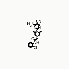 CC1CN(CC(=O)Nc2ccccc2Cl)CC(C)N1c1ncc(C#N)c(N)n1